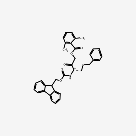 Cc1cccc(C)c1C(=O)OCC(=O)[C@H](COCc1ccccc1)NC(=O)OCC1c2ccccc2-c2ccccc21